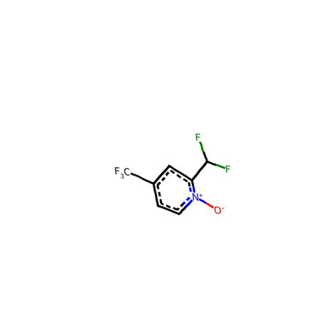 [O-][n+]1ccc(C(F)(F)F)cc1C(F)F